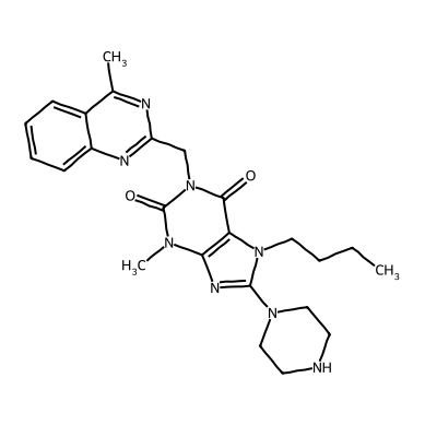 CCCCn1c(N2CCNCC2)nc2c1c(=O)n(Cc1nc(C)c3ccccc3n1)c(=O)n2C